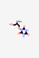 COC(CO)COn1c(=O)[nH]c(=O)[nH]c1=O